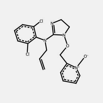 C=CCN(C1=NCCN1OCc1cccc[n+]1[O-])c1c(Cl)cccc1Cl